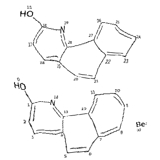 Oc1ccc2ccc3ccccc3c2n1.Oc1ccc2ccc3ccccc3c2n1.[Be]